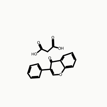 O=C(O)CC(=O)O.O=c1c(-c2ccccc2)coc2ccccc12